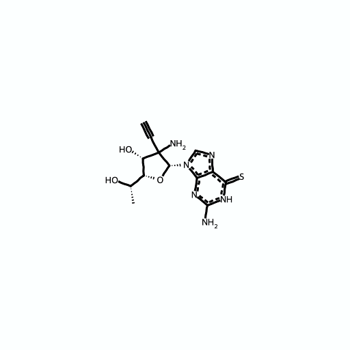 C#CC1(N)[C@@H](O)[C@@H]([C@H](C)O)O[C@H]1n1cnc2c(=S)[nH]c(N)nc21